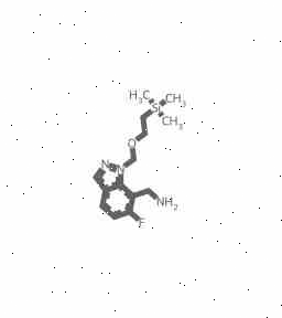 C[Si](C)(C)CCOCn1ncc2ccc(F)c(CN)c21